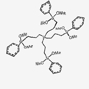 CO[Si](CCC[Si](CCC[Si](OC)(OC)c1ccccc1)(CCC[Si](OC)(OC)c1ccccc1)CCC[Si](OC)(OC)c1ccccc1)(OC)c1ccccc1